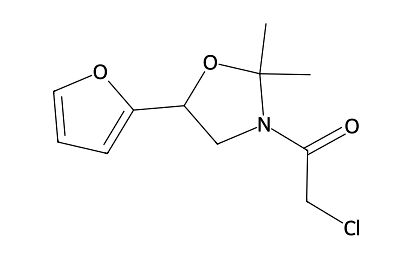 CC1(C)OC(c2ccco2)CN1C(=O)CCl